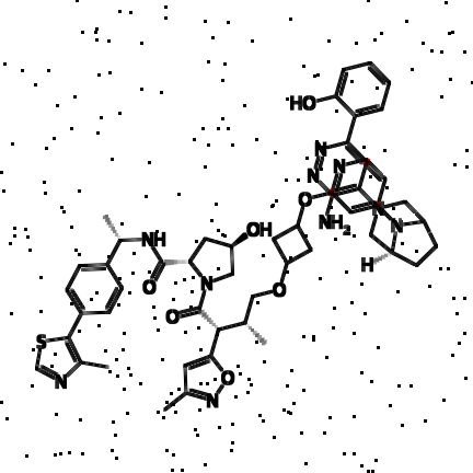 Cc1cc([C@H](C(=O)N2C[C@H](O)C[C@H]2C(=O)N[C@@H](C)c2ccc(-c3scnc3C)cc2)[C@@H](C)COC2CC(Oc3cc(N4C5CC[C@H]4CN(c4cc(-c6ccccc6O)nnc4N)C5)ccn3)C2)on1